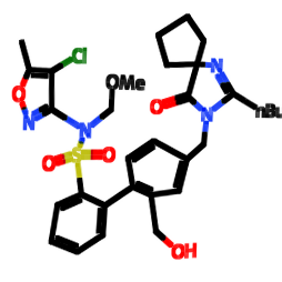 CCCCC1=NC2(CCCC2)C(=O)N1Cc1ccc(-c2ccccc2S(=O)(=O)N(COC)c2noc(C)c2Cl)c(CO)c1